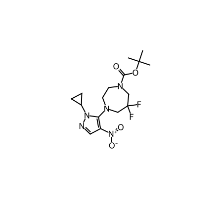 CC(C)(C)OC(=O)N1CCN(c2c([N+](=O)[O-])cnn2C2CC2)CC(F)(F)C1